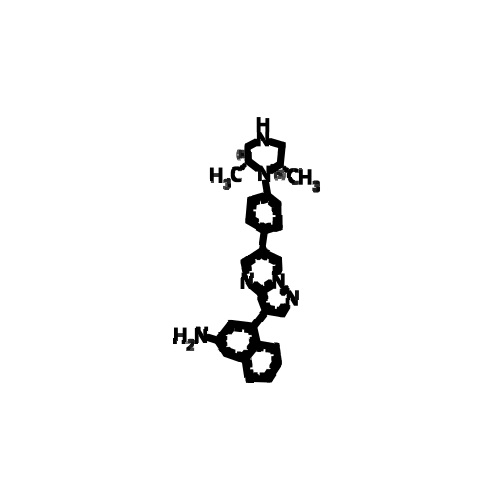 C[C@@H]1CNC[C@H](C)N1c1ccc(-c2cnc3c(-c4cc(N)cc5ccccc45)cnn3c2)cc1